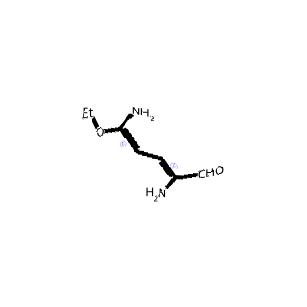 CCO/C(N)=C/C=C(\N)C=O